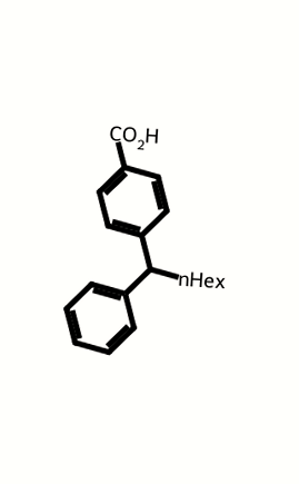 CCCCCCC(c1ccccc1)c1ccc(C(=O)O)cc1